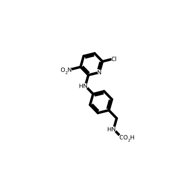 O=C(O)NCc1ccc(Nc2nc(Cl)ccc2[N+](=O)[O-])cc1